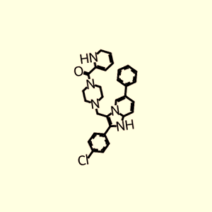 O=C(C1=CC=CCN1)N1CCN(CC2=C(c3ccc(Cl)cc3)NC3C=CC(c4ccccc4)=CN23)CC1